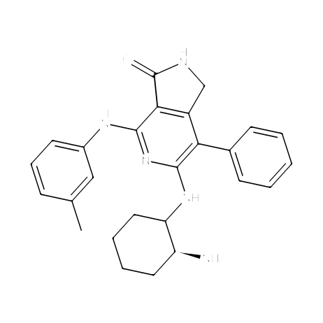 Cc1cccc(Nc2nc(NC3CCCC[C@@H]3N)c(-c3ccccc3)c3c2C(=O)NC3)c1